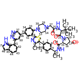 Cc1ncsc1-c1ccc([C@H](C)NC(=O)[C@@H]2C[C@@H](O)CN2C(=O)[C@@H](NC(=O)CN2CCN(c3ccc(-c4cnnc(-c5cccc6cc[nH]c56)c4)cc3)CC2)C(C)(C)C)cc1